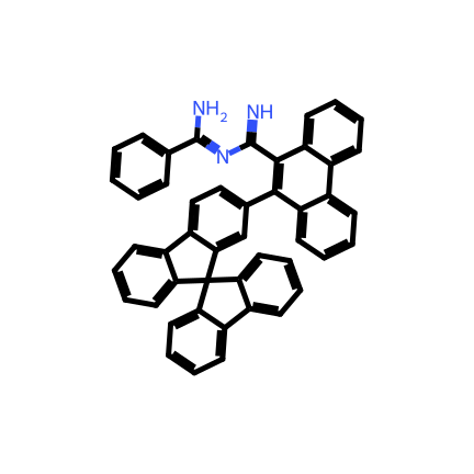 N=C(/N=C(\N)c1ccccc1)c1c(-c2ccc3c(c2)C2(c4ccccc4-c4ccccc42)c2ccccc2-3)c2ccccc2c2ccccc12